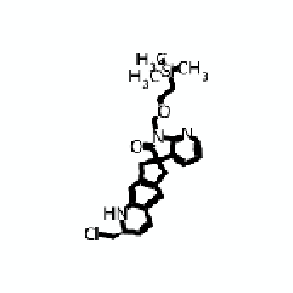 C[Si](C)(C)CCOCN1C(=O)C2(Cc3cc4c(cc3C2)N[C@H](CCl)C=C4)c2cccnc21